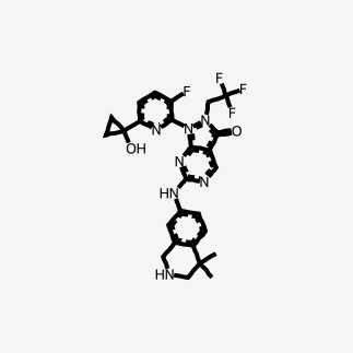 CC1(C)CNCc2cc(Nc3ncc4c(=O)n(CC(F)(F)F)n(-c5nc(C6(O)CC6)ccc5F)c4n3)ccc21